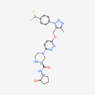 Cc1nnn(-c2ccc(C(F)F)cc2)c1COc1ccc(N2CCN[C@H](C(=O)N[C@H]3CCCC3=O)C2)nn1